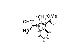 COC(=O)c1c(C)n(C(C)C=O)c2ccccc12